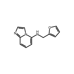 c1coc(CNc2cccc3nccn23)c1